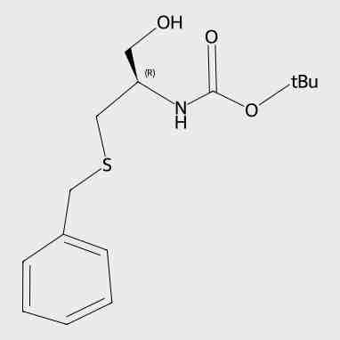 CC(C)(C)OC(=O)N[C@H](CO)CSCc1ccccc1